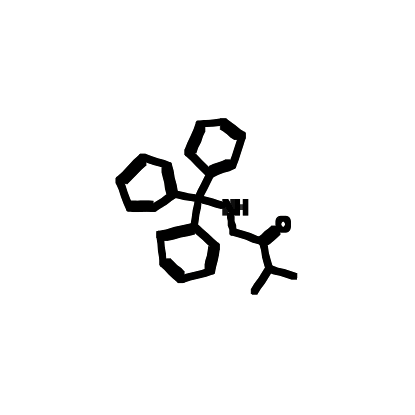 CC(C)C(=O)CNC(c1ccccc1)(c1ccccc1)c1ccccc1